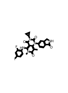 Cc1c(=O)n(C)c(Nc2ccc(I)cc2F)c2c(=O)n(C3CC3)c(=O)n(-c3ccc4c(c3)CNC4=O)c12